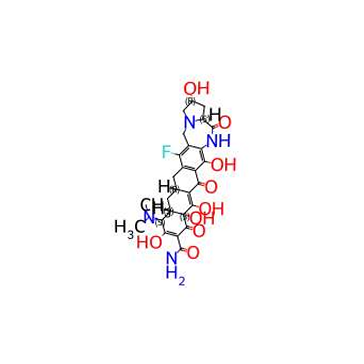 CN(C)[C@@H]1C(O)=C(C(N)=O)C(=O)[C@@]2(O)C(O)=C3C(=O)c4c(O)c5c(c(F)c4C[C@H]3C[C@@H]12)CN1C[C@H](O)C[C@H]1C(=O)N5